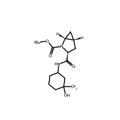 CC(C)(C)OC(=O)N1[C@@H]2C[C@@H]2C[C@H]1C(=O)NC1CCCC(O)(C(F)(F)F)C1